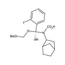 CCC[C@](OCOC)(c1ccccc1I)N(C(=O)O)C1CC2CCC1C2